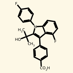 CC(C)(O)c1c(-c2ccc(C(=O)O)cc2)c2c(F)cccc2n1-c1ccc(F)cc1